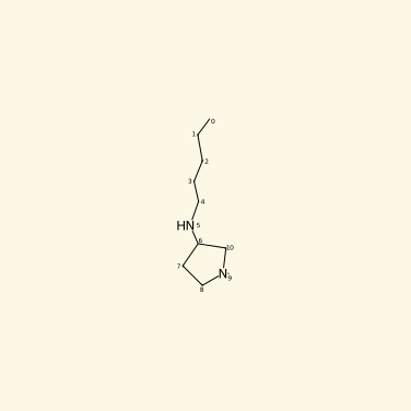 CCCCCNC1CC[N]C1